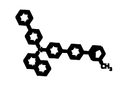 CC1CC2CCC1=C(c1ccc(-c3ccc(N(c4ccc(-c5ccccc5)cc4)c4cccc5ccccc45)cc3)cc1)C2